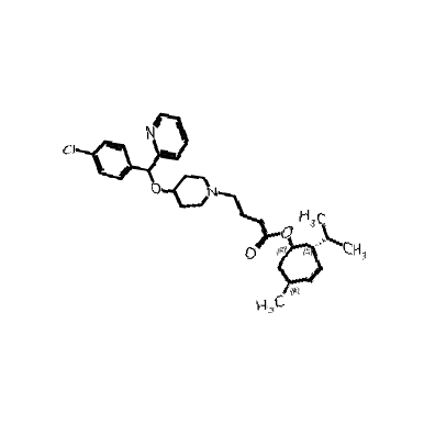 CC(C)[C@@H]1CC[C@@H](C)C[C@H]1OC(=O)CCCN1CCC(OC(c2ccc(Cl)cc2)c2ccccn2)CC1